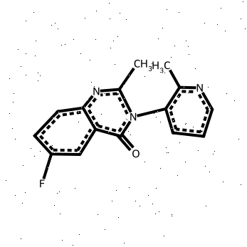 Cc1ncccc1-n1c(C)nc2ccc(F)cc2c1=O